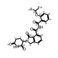 O=C1CCC(N2Cc3cccc(C(=O)NC(=O)c4ccccc4OC(F)F)c3C2=O)C(=O)N1